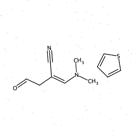 CN(C)C=C(C#N)CC=O.c1ccsc1